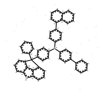 c1ccc(-c2ccc(N(c3ccc(-c4cccc5ccccc45)cc3)c3ccc(C4(c5ccccc5)c5cccc6oc7cccc4c7c56)cc3)cc2)cc1